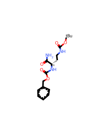 CC(C)(C)OC(=O)NCC[C@H](NC(=O)OCc1ccccc1)C(N)=O